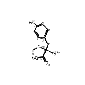 CO[C@](N)(Cc1ccc(O)cc1)C(=O)O